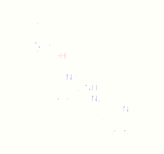 Oc1c(CN2CCCCC2)ccc2ccc(N/N=C/c3ccccn3)nc12